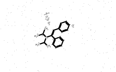 CC(C)P(C(=Cc1ccccc1)c1ccccc1)C(C)C.[Cl-].[Cl-].[Cl-].[Cl-].[Zr+4]